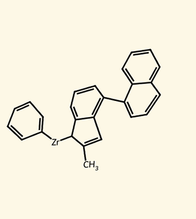 CC1=Cc2c(-c3cccc4ccccc34)cccc2[CH]1[Zr][c]1ccccc1